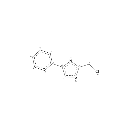 ClCc1nc(-c2ccccc2)cs1